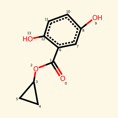 O=C(OC1CC1)c1cc(O)ccc1O